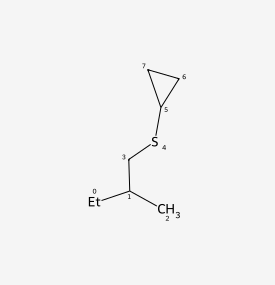 CCC(C)CSC1CC1